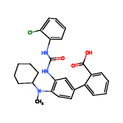 CN(c1ccc(-c2ccccc2C(=O)O)cc1NC(=O)Nc1ccccc1Cl)C1CCCCC1